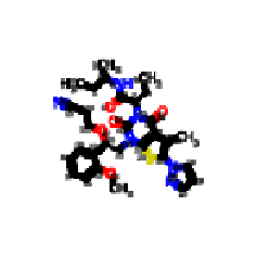 CCC(C)NC(=O)[C@@H](CC)n1c(=O)c2c(C)c(-n3cccn3)sc2n(C[C@H](OCCC#N)c2ccccc2OC)c1=O